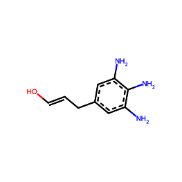 Nc1cc(CC=CO)cc(N)c1N